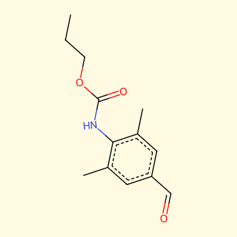 CCCOC(=O)Nc1c(C)cc(C=O)cc1C